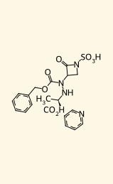 C[C@@H](NN(C(=O)OCc1ccccc1)C1CN(S(=O)(=O)O)C1=O)C(=O)O.c1ccncc1